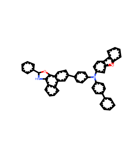 c1ccc(-c2ccc(N(c3ccc(-c4ccc5c6c(c7ccccc7c5c4)NC(c4ccccc4)O6)cc3)c3ccc4c(c3)oc3ccccc34)cc2)cc1